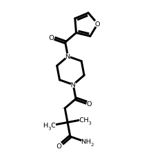 CC(C)([CH]C(=O)N1CCN(C(=O)c2ccoc2)CC1)C(N)=O